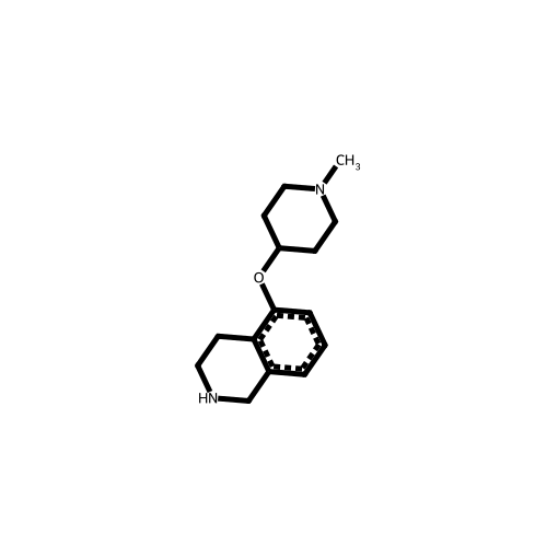 CN1CCC(Oc2cccc3c2CCNC3)CC1